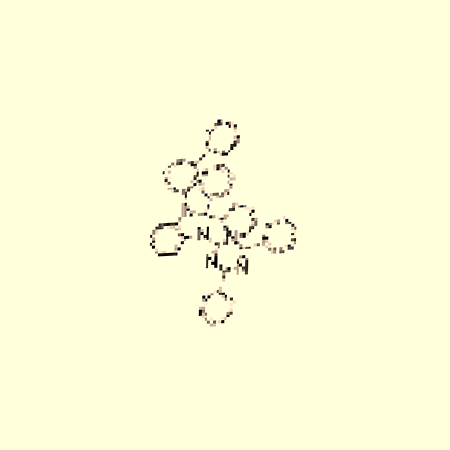 c1ccc(-c2cccc(N3c4ccccc4N(c4nc(-c5ccccc5)nc(-c5ccccc5)n4)C3(c3ccccc3)c3ccccc3)c2)cc1